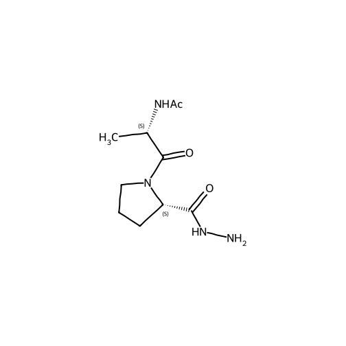 CC(=O)N[C@@H](C)C(=O)N1CCC[C@H]1C(=O)NN